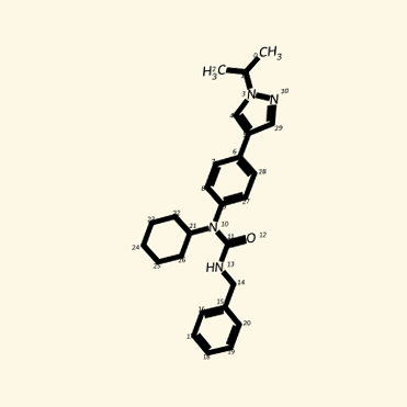 CC(C)n1cc(-c2ccc(N(C(=O)NCc3ccccc3)C3CCCCC3)cc2)cn1